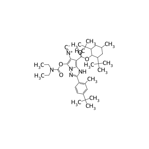 [C-]#[N+]c1c(C(=O)OC2C(C(C)(C)C)CC(C)CC2C(C)(C)C)c2[nH]c(-c3ccc(C(C)(C)C)cc3C)nn2c1OC(=O)N(CC)CC